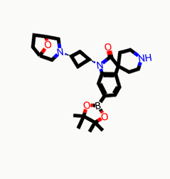 CC1(C)OB(c2ccc3c(c2)N([C@H]2C[C@@H](N4CC5CCC(C4)O5)C2)C(=O)C32CCNCC2)OC1(C)C